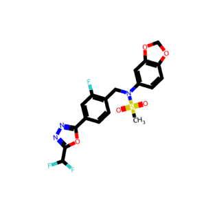 CS(=O)(=O)N(Cc1ccc(-c2nnc(C(F)F)o2)cc1F)c1ccc2c(c1)OCO2